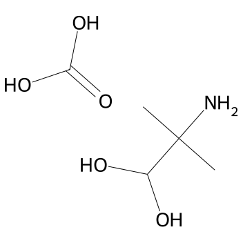 CC(C)(N)C(O)O.O=C(O)O